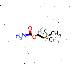 CS(C)(C)CCOC(N)=O